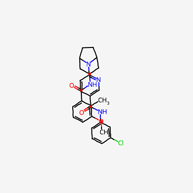 COc1cccc(C(=O)NC2CC3CCC(C2)N3c2ccc(C(=O)Nc3cccc(Cl)c3)cn2)c1C